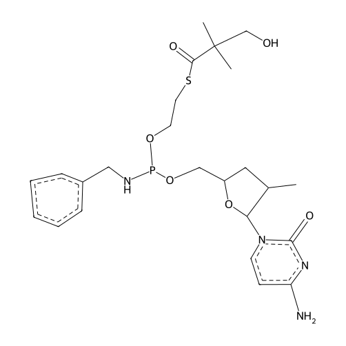 CC1CC(COP(NCc2ccccc2)OCCSC(=O)C(C)(C)CO)OC1n1ccc(N)nc1=O